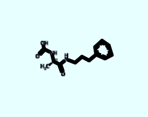 C[C@H](NC(=O)O)C(=O)NCCCc1ccccc1